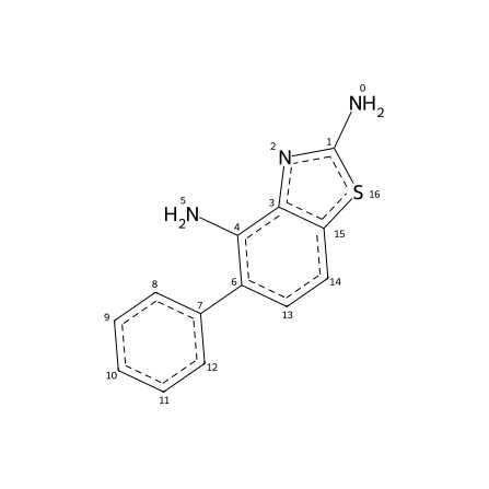 Nc1nc2c(N)c(-c3ccccc3)ccc2s1